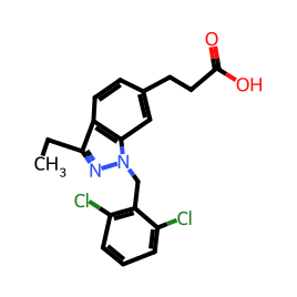 CCc1nn(Cc2c(Cl)cccc2Cl)c2cc(CCC(=O)O)ccc12